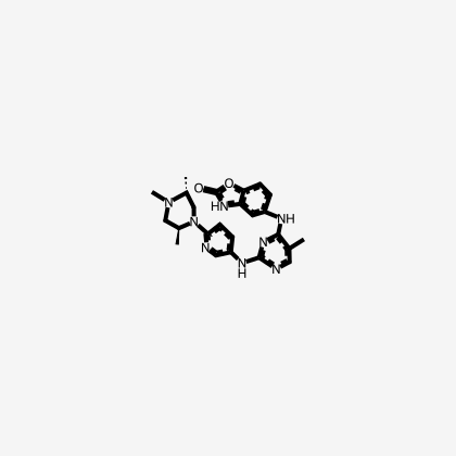 Cc1cnc(Nc2ccc(N3C[C@@H](C)N(C)C[C@@H]3C)nc2)nc1Nc1ccc2oc(=O)[nH]c2c1